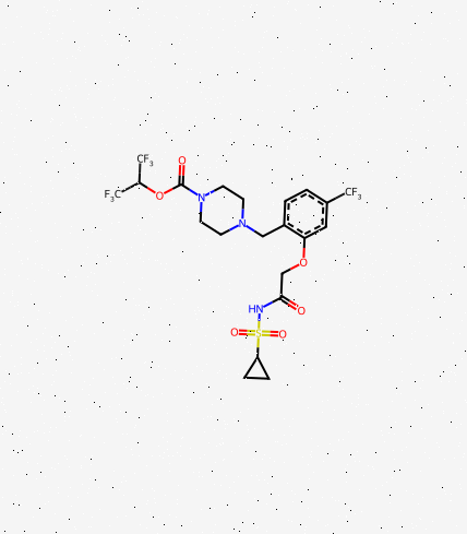 O=C(COc1cc(C(F)(F)F)ccc1CN1CCN(C(=O)OC(C(F)(F)F)C(F)(F)F)CC1)NS(=O)(=O)C1CC1